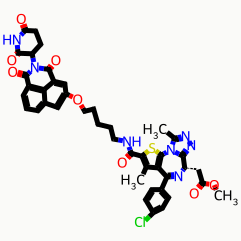 COC(=O)C[C@@H]1N=C(c2ccc(Cl)cc2)c2c(sc(C(=O)NCCCCCOc3cc4c5c(cccc5c3)C(=O)N(C3CCC(=O)NC3=O)C4=O)c2C)-n2c(C)nnc21